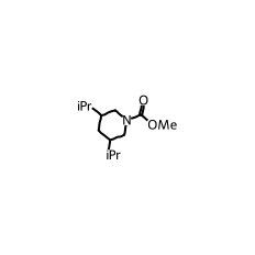 COC(=O)N1CC(C(C)C)CC(C(C)C)C1